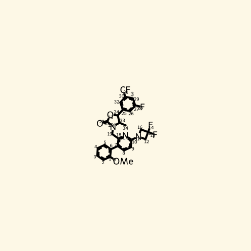 COc1ccccc1-c1ccc(N2CC(F)(F)C2)nc1CN1C(=O)OC(c2cc(F)cc(C(F)(F)F)c2)C1C